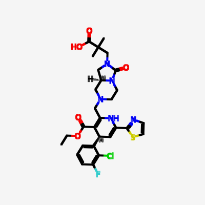 CCOC(=O)C1=C(CN2CCN3C(=O)N(CC(C)(C)C(=O)O)C[C@@H]3C2)NC(c2nccs2)=C[C@H]1c1cccc(F)c1Cl